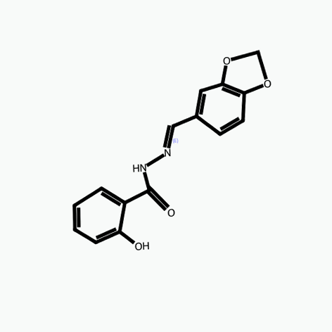 O=C(N/N=C/c1ccc2c(c1)OCO2)c1ccccc1O